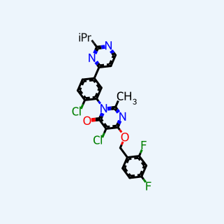 Cc1nc(OCc2ccc(F)cc2F)c(Cl)c(=O)n1-c1cc(-c2ccnc(C(C)C)n2)ccc1Cl